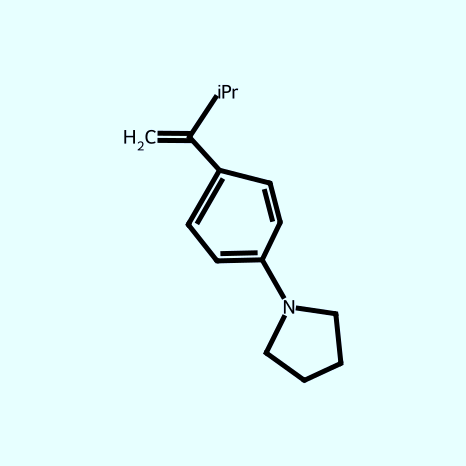 C=C(c1ccc(N2CCCC2)cc1)C(C)C